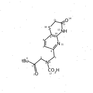 CC(C)(C)C(=O)CN(Cc1ccc2c(n1)NC(=O)CS2)C(=O)O